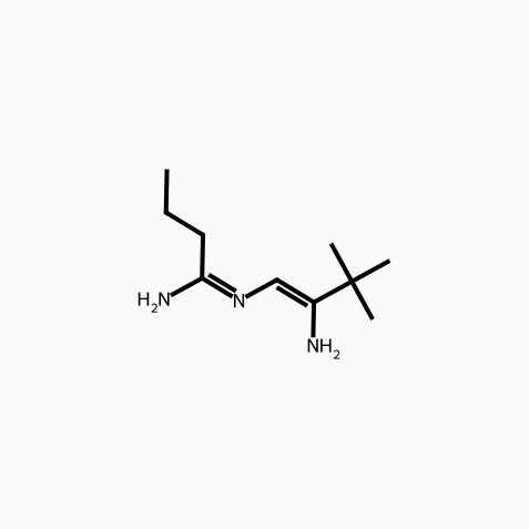 CCC/C(N)=N\C=C(/N)C(C)(C)C